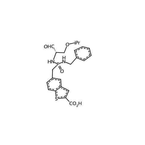 CC(C)OC[C@@H](C=O)NP(=O)(Cc1ccc2sc(C(=O)O)cc2c1)NCc1ccccc1